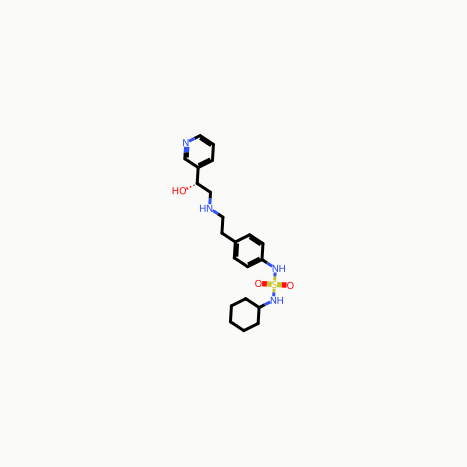 O=S(=O)(Nc1ccc(CCNC[C@H](O)c2cccnc2)cc1)NC1CCCCC1